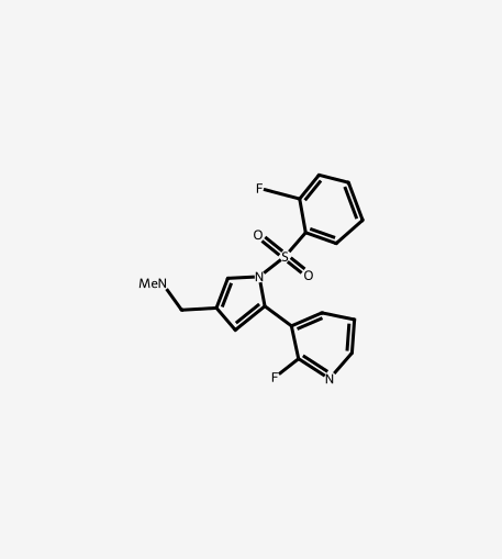 CNCc1cc(-c2cccnc2F)n(S(=O)(=O)c2ccccc2F)c1